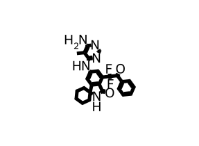 Cc1c(N)ncnc1Nc1cc2c(c(C(F)(F)C(=O)c3ccccc3)c1)C(=O)NC21CCCCC1